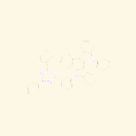 c1ccc(-c2nc(-c3ccccc3)nc(-c3cccc(-n4c5ccccc5c5c4c4ccccc4c4c6ccccc6n(-c6ccccc6)c45)c3)n2)cc1